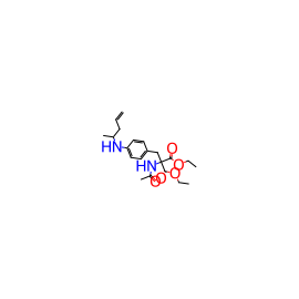 C=CCC(C)Nc1ccc(CC(NC(C)=O)(C(=O)OCC)C(=O)OCC)cc1